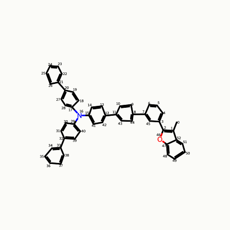 Cc1c(-c2cccc(-c3ccc(-c4ccc(N(c5ccc(-c6ccccc6)cc5)c5ccc(-c6ccccc6)cc5)cc4)cc3)c2)oc2ccccc12